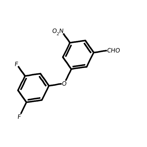 O=Cc1cc(Oc2cc(F)cc(F)c2)cc([N+](=O)[O-])c1